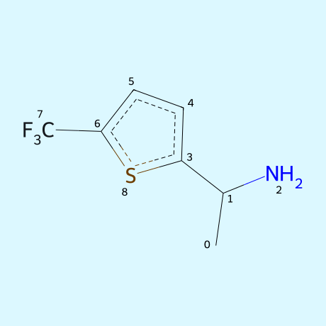 CC(N)c1ccc(C(F)(F)F)s1